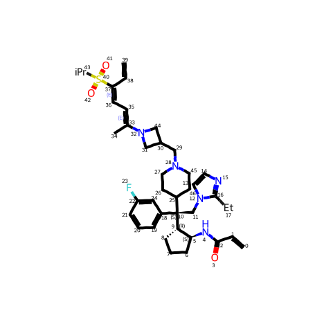 C=CC(=O)N[C@H]1CCC[C@@H]1[C@](Cn1ccnc1CC)(c1cccc(F)c1)C1CCN(CC2CN(/C(C)=C/C=C(\C=C)S(=O)(=O)C(C)C)C2)CC1